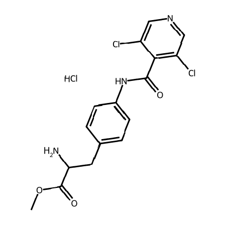 COC(=O)C(N)Cc1ccc(NC(=O)c2c(Cl)cncc2Cl)cc1.Cl